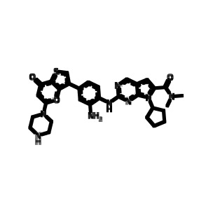 CN(C)C(=O)c1cc2cnc(Nc3ccc(-c4csc5c(=O)cc(N6CCNCC6)oc45)cc3N)nc2n1C1CCCC1